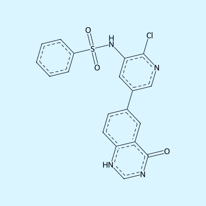 O=c1nc[nH]c2ccc(-c3cnc(Cl)c(NS(=O)(=O)c4ccccc4)c3)cc12